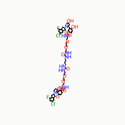 O=C(NCCCCNC(=O)NCCOCCOCCNS(=O)(=O)c1ccc(O)c(C2C[C@@H](O)CN2[C@@H]2Cc3cc(Cl)cc(F)c3C2)c1)NCCOCCOCCNS(=O)(=O)c1ccc(O[C@H]2c3cc(Cl)cc(F)c3C[C@@H]2N2CC[C@@H](O)C2)cc1